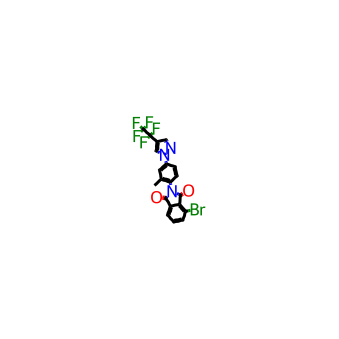 Cc1cc(-n2cc(C(F)(F)C(F)(F)F)cn2)ccc1N1C(=O)c2cccc(Br)c2C1=O